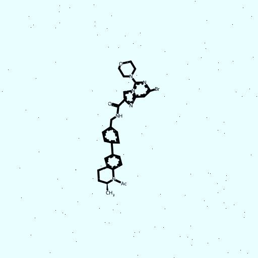 CC(=O)N1c2ccc(-c3ccc(CNC(=O)c4cn5c(N6CCOCC6)nc(Br)cc5n4)cc3)cc2CC[C@@H]1C